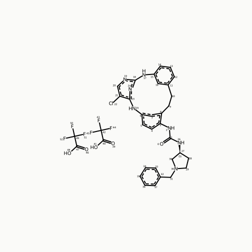 O=C(Nc1ccc2cc1CCc1cccc(c1)Nc1ncc(Cl)c(n1)N2)N[C@H]1CCN(Cc2ccccc2)C1.O=C(O)C(F)(F)F.O=C(O)C(F)(F)F